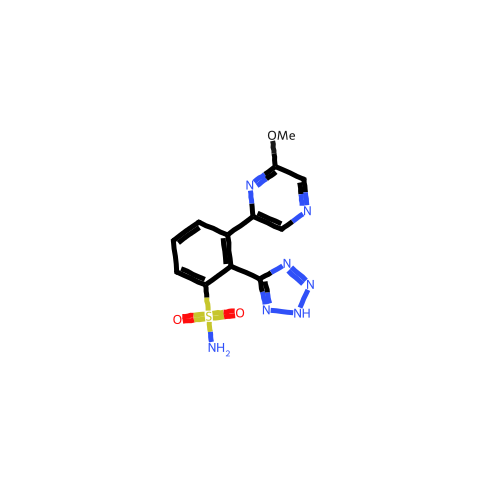 COc1cncc(-c2cccc(S(N)(=O)=O)c2-c2nn[nH]n2)n1